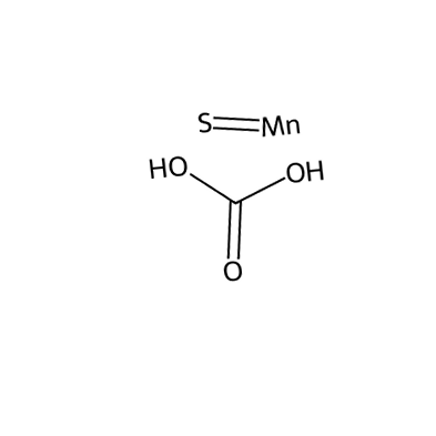 O=C(O)O.[S]=[Mn]